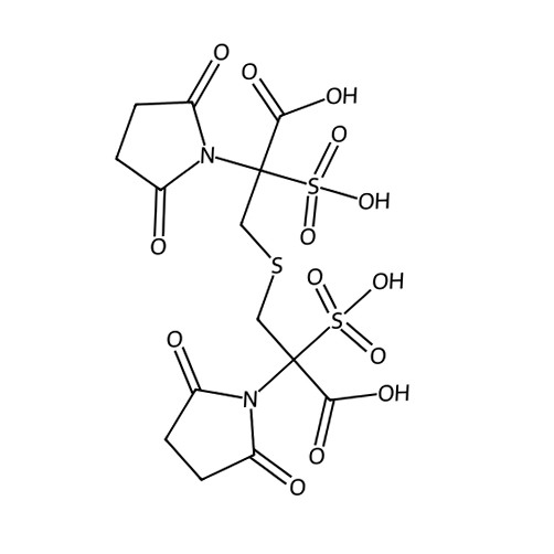 O=C1CCC(=O)N1C(CSCC(C(=O)O)(N1C(=O)CCC1=O)S(=O)(=O)O)(C(=O)O)S(=O)(=O)O